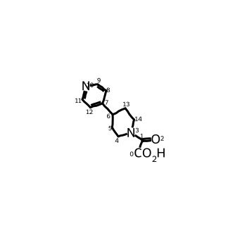 O=C(O)C(=O)N1CCC(c2ccncc2)CC1